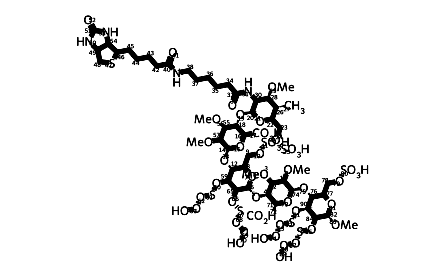 COC1C(OC)[C@H](O[C@H]2OC(COS(=O)(=O)O)[C@@H](O[C@@H]3OC(C(=O)O)[C@@H](O[C@@H]4OC(COS(=O)(=O)O)[C@@H](C)[C@H](OC)C4NC(=O)CCCCCNC(=O)CCCCC4SCC5NC(=O)NC54)[C@H](OC)C3OC)C(OSOOO)C2OSOOO)[C@H](C(=O)O)O[C@@H]1O[C@@H]1C(COS(=O)(=O)O)O[C@H](OC)C(OSOOO)[C@H]1OSOOO